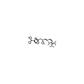 COC(=O)c1coc(CC(/C=C/C=C\[Si](C(C)C)(C(C)C)C(C)C)OC)n1